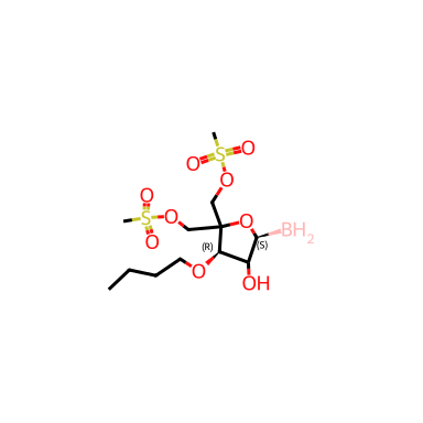 B[C@@H]1OC(COS(C)(=O)=O)(COS(C)(=O)=O)[C@H](OCCCC)C1O